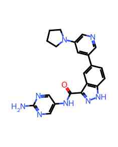 Nc1ncc(NC(=O)c2n[nH]c3ccc(-c4cncc(N5CCCC5)c4)cc23)cn1